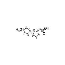 Cc1ccc(-c2cccc(CC(=O)O)c2)cc1